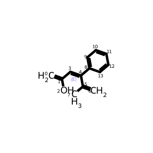 C=C(O)/C=C(\C(=C)C)c1ccccc1